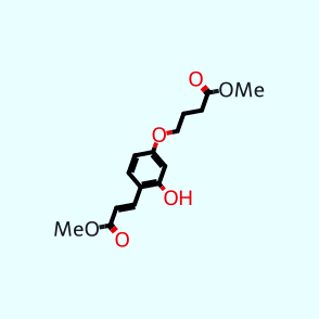 COC(=O)C=Cc1ccc(OCCCC(=O)OC)cc1O